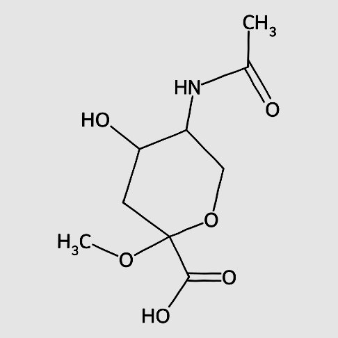 COC1(C(=O)O)CC(O)C(NC(C)=O)CO1